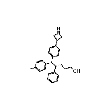 Cc1ccc(C(c2ccc(C3CNC3)cc2)[C@H](CCCO)c2ccccc2)cc1